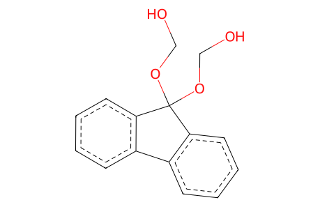 OCOC1(OCO)c2ccccc2-c2ccccc21